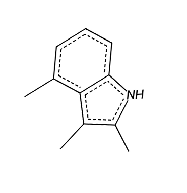 Cc1[nH]c2cccc(C)c2c1C